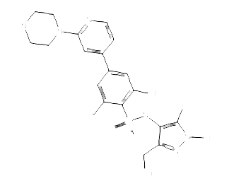 Cc1c(N[SH](C)(=S)c2c(Cl)cc(-c3ccnc(N4CCNCC4)c3)cc2Cl)c(CC(C)C)nn1C